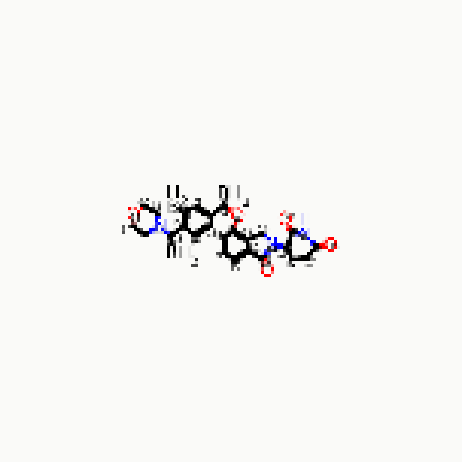 Bc1cc(C(B)Oc2cccc3c2CN(C2CCC(=O)NC2=O)C3=O)ccc1C(B)N1CCOCC1